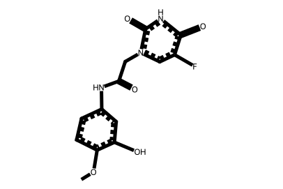 COc1ccc(NC(=O)Cn2cc(F)c(=O)[nH]c2=O)cc1O